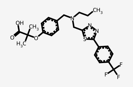 CCCN(Cc1ccc(OC(C)(C)C(=O)O)cc1)Cc1nnc(-c2ccc(C(F)(F)F)cc2)s1